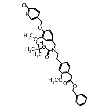 COc1cc(CCN(Cc2ccc(OCc3ccc(Cl)nc3)c(OC)c2)C(=O)OC(C)(C)C)ccc1CC(=O)OCc1ccccc1